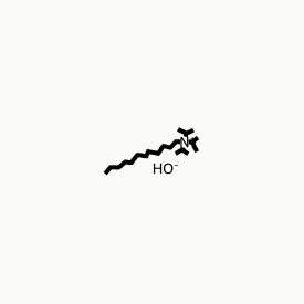 CCCCCCCCCCCC[N+](C(C)C)(C(C)C)C(C)C.[OH-]